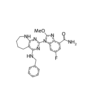 COc1nc2c(C(N)=O)cc(F)cc2n1-c1nc2c(c(NCc3ccccc3)n1)CCCCN2